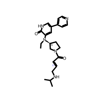 CCN(c1cc(-c2ccncc2)c[nH]c1=O)[C@H]1CCN(C(=O)/C=C/CNC(C)C)C1